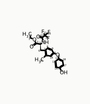 CCOC(=O)[C@H](Cc1ccc(Oc2ccc(O)cc2)cc1C)NC(=O)C(F)(F)F